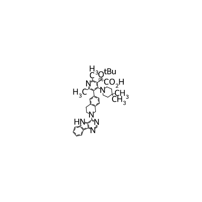 Cc1nc(C)c([C@H](OC(C)(C)C)C(=O)O)c(N2CCC(C)(C)CC2)c1-c1ccc2c(c1)CCN(c1ncnc3c1[nH]c1ccccc13)C2